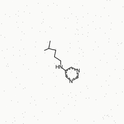 CC(C)CCCNc1cncnc1